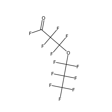 O=C(F)C(F)(F)C(F)(F)OC(F)(F)C(F)(F)C(F)(F)F